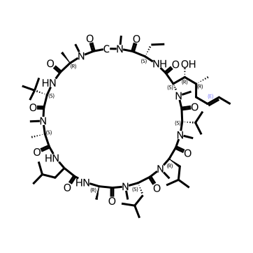 C/C=C/C[C@@H](C)[C@@H](O)[C@H]1C(=O)N[C@@H](CC)C(=O)N(C)CC(=O)N(C)[C@H](C)C(=O)N[C@@H](C(C)(C)C)C(=O)N(C)[C@@H](C)C(=O)NC(CC(C)C)C(=O)N[C@H](C)C(=O)N(C)[C@@H](CC(C)C)C(=O)N(C)[C@H](CC(C)C)C(=O)N(C)[C@@H](C(C)C)C(=O)N1C